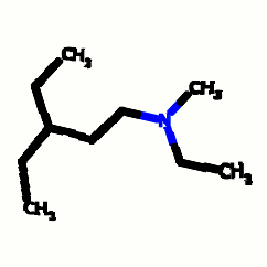 CCC(CC)CCN(C)CC